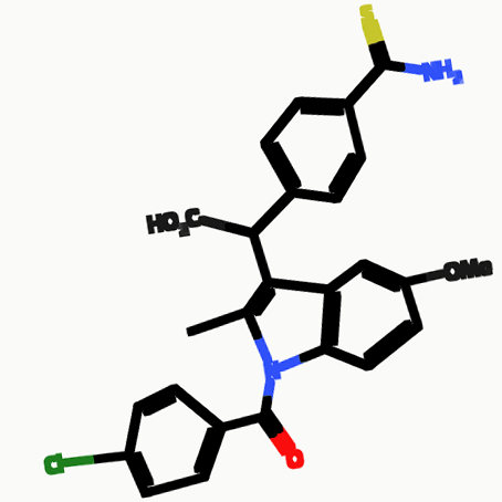 COc1ccc2c(c1)c(C(C(=O)O)c1ccc(C(N)=S)cc1)c(C)n2C(=O)c1ccc(Cl)cc1